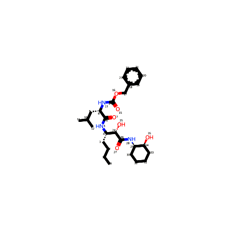 CCCC[C@H](NC(=O)[C@H](CC(C)C)NC(=O)OCc1ccccc1)[C@H](O)C(=O)N[C@H]1CCCC[C@@H]1O